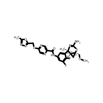 COC[C@]12C[C@H]1[C@@](C)(c1cc(NC(=O)c3cnc(OCc4nnc(C)o4)cn3)cc(F)c1F)N=C(N)S2